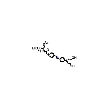 CCOC(=O)C(CSC(C)=O)NC(=O)C[n+]1ccc(/C=C/c2ccc(N(CCO)CCO)cc2)cc1